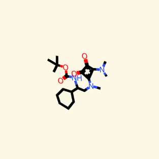 CN(C)c1c(N(C)CC(NC(=O)OC(C)(C)C)C2CCCCC2)c(=O)c1=O